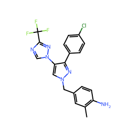 Cc1cc(Cn2cc(-n3cnc(C(F)(F)F)n3)c(-c3ccc(Cl)cc3)n2)ccc1N